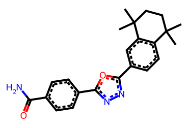 CC1(C)CCC(C)(C)c2cc(-c3nnc(-c4ccc(C(N)=O)cc4)o3)ccc21